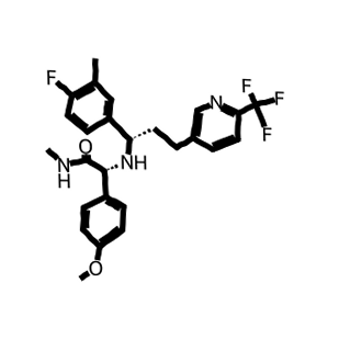 CNC(=O)[C@H](N[C@@H](CCc1ccc(C(F)(F)F)nc1)c1ccc(F)c(C)c1)c1ccc(OC)cc1